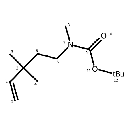 C=CC(C)(C)CCN(C)C(=O)OC(C)(C)C